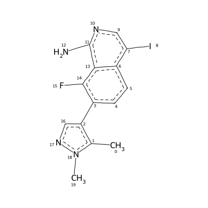 Cc1c(-c2ccc3c(I)cnc(N)c3c2F)cnn1C